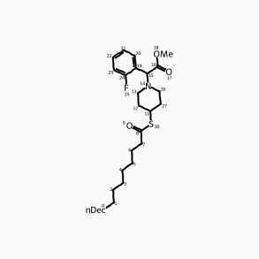 CCCCCCCCCCCCCCCCCC(=O)SC1CCN(C(C(=O)OC)c2ccccc2F)CC1